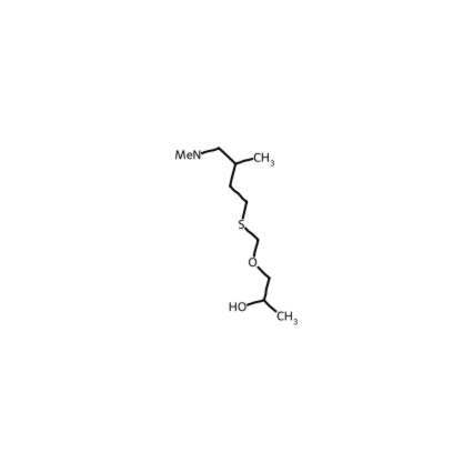 CNCC(C)CCSCOCC(C)O